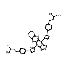 CCCCC(CC)CCc1ccc(-c2ccc(-c3c4nsnc4c(-c4ccc(-c5ccc(CCC(CC)CCCC)cc5)s4)c4nc5c(nc34)CCCC5)s2)cc1